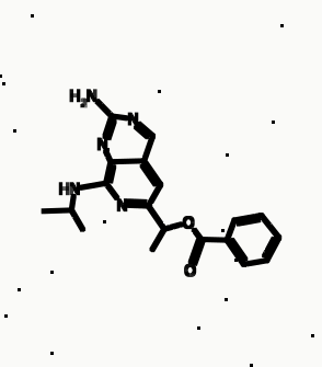 CC(C)Nc1nc(C(C)OC(=O)c2ccccc2)cc2cnc(N)nc12